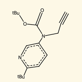 C#CCN(C(=O)OC(C)(C)C)c1ccc(C(C)(C)C)nc1